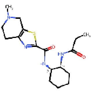 CCC(=O)N[C@H]1CCCC[C@H]1NC(=O)c1nc2c(s1)CN(C)CC2